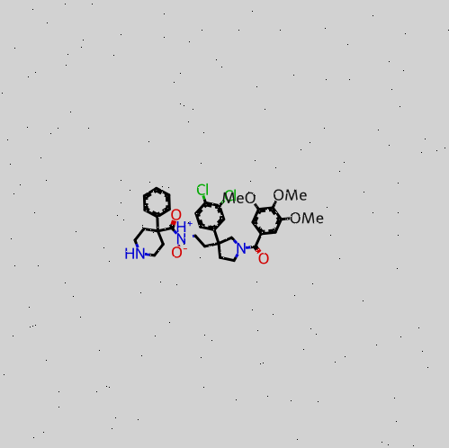 COc1cc(C(=O)N2CCC(CC[NH+]([O-])C(=O)C3(c4ccccc4)CCNCC3)(c3ccc(Cl)c(Cl)c3)C2)cc(OC)c1OC